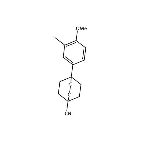 COc1ccc(C23CCC(C#N)(CC2)CC3)cc1C